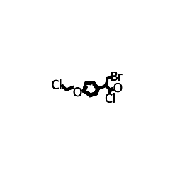 O=C(Cl)C(CBr)c1ccc(OCCCl)cc1